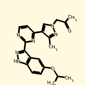 CC(=O)Cn1cc(-c2ccnc(-c3n[nH]c4ccc(OC(C)C)cc34)n2)c(C)n1